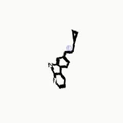 C(=C\C1CC1)/c1ccc2c(c1)ncc1ncccc12